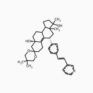 CC1(C)COC2(CCC3=C4C(CC[C@@]3(O)C2)C2CCC(C)(O)C2(C)C[C@@H]4c2ccc(/C=C/c3cccnc3)cc2)OC1